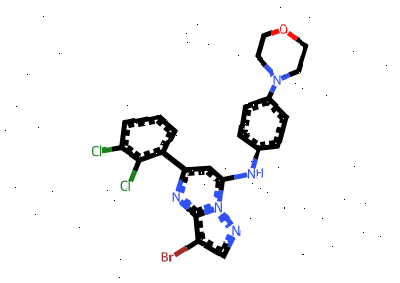 Clc1cccc(-c2cc(Nc3ccc(N4CCOCC4)cc3)n3ncc(Br)c3n2)c1Cl